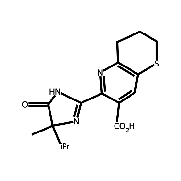 CC(C)C1(C)N=C(c2nc3c(cc2C(=O)O)SCCC3)NC1=O